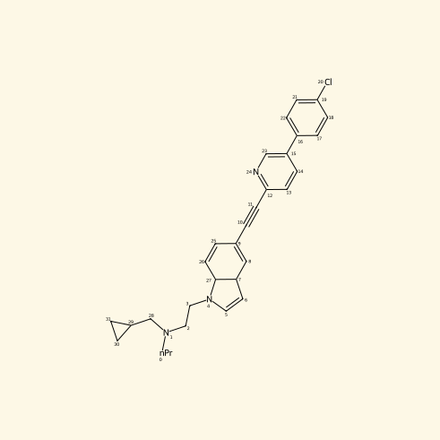 CCCN(CCN1C=CC2C=C(C#Cc3ccc(-c4ccc(Cl)cc4)cn3)C=CC21)CC1CC1